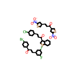 O=C(C=Cc1cc(F)cc(F)c1)c1ccc(Br)cc1.O=C(C=Cc1ccc(Cl)cc1)c1csc2ccccc12.O=C(C=Cc1csc([N+](=O)[O-])c1)c1csc([N+](=O)[O-])c1